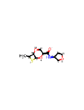 CC1SC2OC(C(=O)NC3CCOC3)COC12